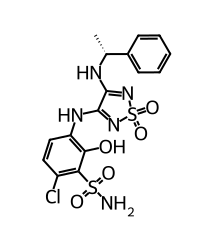 C[C@@H](NC1=NS(=O)(=O)N=C1Nc1ccc(Cl)c(S(N)(=O)=O)c1O)c1ccccc1